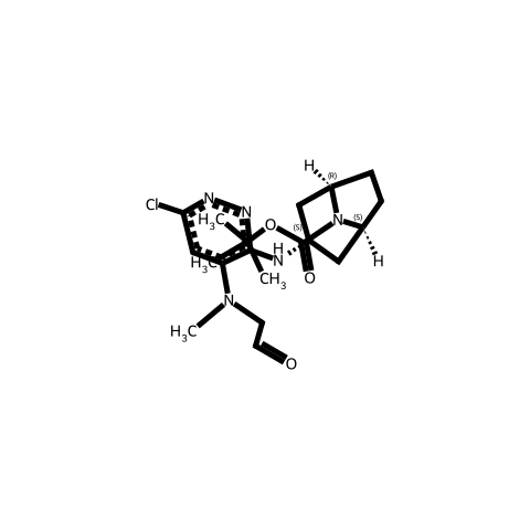 CN(CC=O)c1cc(Cl)nnc1N[C@@H]1C[C@H]2CC[C@@H](C1)N2C(=O)OC(C)(C)C